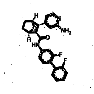 Nc1cc([C@@H]2[C@@H](C(=O)Nc3ccc(-c4ccccc4F)c(F)c3)[C@H]3CC[C@@H]2O3)ccn1